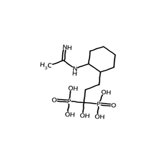 CC(=N)NC1CCCCC1CCC(O)(P(=O)(O)O)P(=O)(O)O